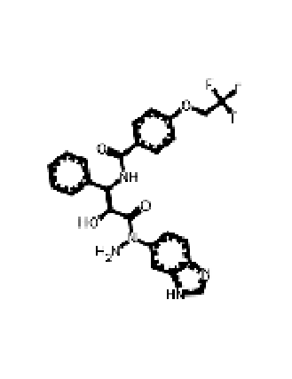 NN(C(=O)C(O)C(NC(=O)c1ccc(OCC(F)(F)F)cc1)c1ccccc1)c1ccc2nc[nH]c2c1